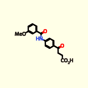 COc1cccc(C(=O)Nc2ccc(C(=O)CCC(=O)O)cc2)c1